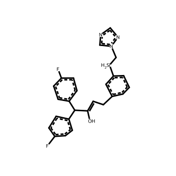 OC(=CCc1cccc([SiH2]Cn2cncn2)c1)C(c1ccc(F)cc1)c1ccc(F)cc1